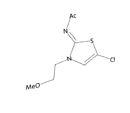 COCCn1cc(Cl)sc1=NC(C)=O